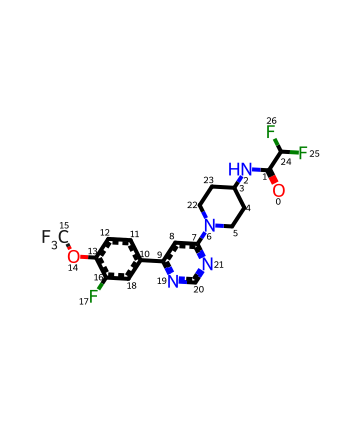 O=C(NC1CCN(c2cc(-c3ccc(OC(F)(F)F)c(F)c3)ncn2)CC1)C(F)F